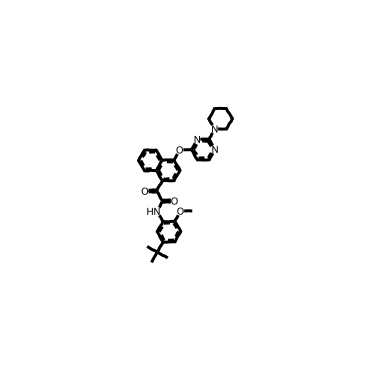 COc1ccc(C(C)(C)C)cc1NC(=O)C(=O)c1ccc(Oc2ccnc(N3CCCCC3)n2)c2ccccc12